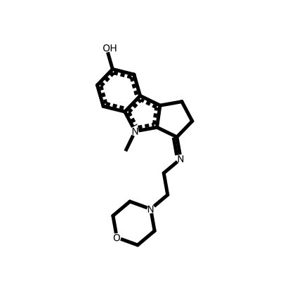 Cn1c2c(c3cc(O)ccc31)CCC2=NCCN1CCOCC1